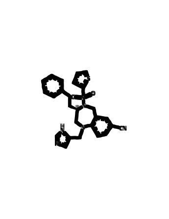 N#Cc1ccc2c(c1)CN(S(=O)(=O)c1cccs1)[C@H](CCc1ccccc1)CN2Cc1cnc[nH]1